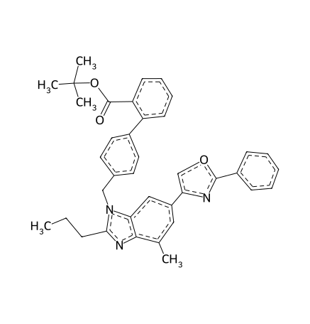 CCCc1nc2c(C)cc(-c3coc(-c4ccccc4)n3)cc2n1Cc1ccc(-c2ccccc2C(=O)OC(C)(C)C)cc1